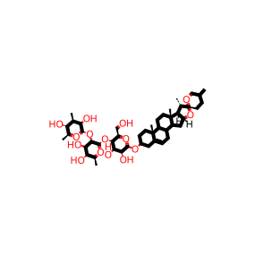 CC1CC[C@@]2(OC1)O[C@H]1CC3C4CC=C5C[C@@H](O[C@@H]6O[C@H](CO)[C@@H](O[C@@H]7O[C@@H](C)[C@H](O)[C@@H](O)[C@H]7O[C@@H]7O[C@@H](C)[C@H](O)[C@@H](C)[C@H]7O)[C@H](O)[C@H]6O)CC[C@]5(C)C4CC[C@]3(C)[C@H]1[C@@H]2C